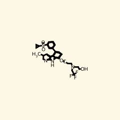 CC1C=c2c([nH]c3c(OCCCN(CCO)CC(F)(F)F)ccc(-c4cccc(S(=O)(=O)C5CC5)c4)c23)=NC1